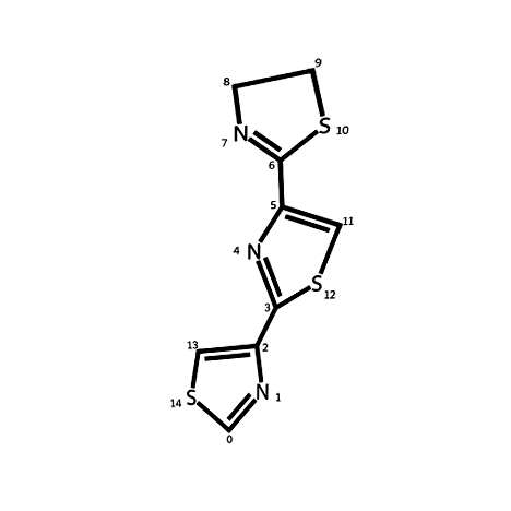 c1nc(-c2nc(C3=NCCS3)cs2)cs1